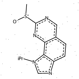 CC(C)n1cnc2ccc3cnc([S+](C)[O-])nc3c21